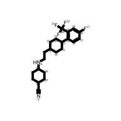 N#CC1CCC(NCCC2CCC(c3ccc(F)cc3C(F)(F)F)CC2)CC1